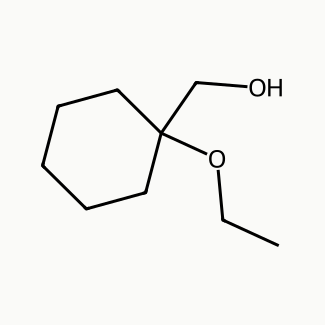 CCOC1(CO)CCCCC1